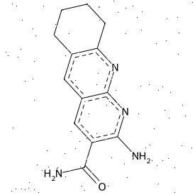 NC(=O)c1cc2cc3c(nc2nc1N)CCCC3